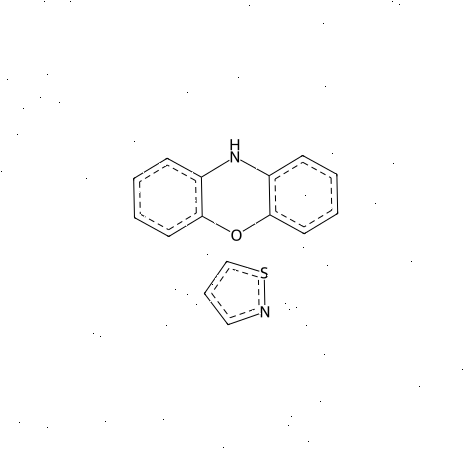 c1ccc2c(c1)Nc1ccccc1O2.c1cnsc1